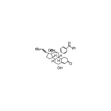 CC(C)Nc1ccc([C@H]2C[C@@]3(C)[C@@H](CC[C@@]3(O)C#CC(C)(C)C)[C@@H]3C[C@@H](O)C4=CC(=O)CC[C@@H]4[C@H]32)cc1